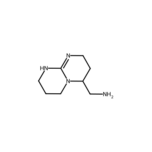 NCC1CCN=C2NCCCN21